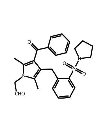 Cc1c(Cc2ccccc2S(=O)(=O)N2CCCC2)c(C(=O)c2ccccc2)c(C)n1CC=O